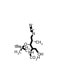 C[C@@H](CN=[N+]=[N-])[C@@H](O[Si](C)(C)C(C)(C)C)C(CO)NC(=O)O